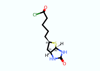 O=C(Cl)CCCC[C@@H]1C[C@@H]2NC(=O)N[C@@H]2S1